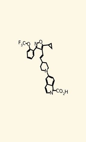 O=C(O)c1nccc2cc(N3CCC(/C=C/c4c(-c5ccccc5OC(F)(F)F)noc4C4CC4)CC3)ccc12